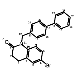 O=C1CCc2cc(Br)ccc2N1Cc1ccc(-c2ccccc2)cc1